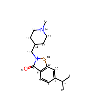 CC(C)c1ccc2c(=O)n(CC3CCN(C)CC3)sc2c1